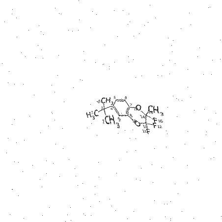 CC(C)(C)c1ccc2c(c1)OC(F)(F)C(C)(F)O2